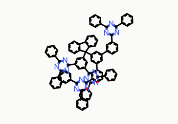 c1ccc(-c2nc(-c3ccccc3)nc(-c3cccc(-c4cc(-c5cccc(-c6nc(-c7ccccc7)nc(-c7ccccc7)n6)c5)cc(C5(c6cc(-c7nc(-c8ccccc8)nc(-c8ccccc8)n7)cc(-c7nc(-c8ccccc8)nc(-c8ccccc8)n7)c6)c6ccccc6-c6ccccc65)c4)c3)n2)cc1